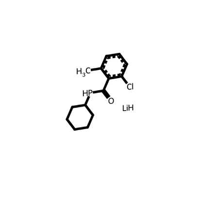 Cc1cccc(Cl)c1C(=O)PC1CCCCC1.[LiH]